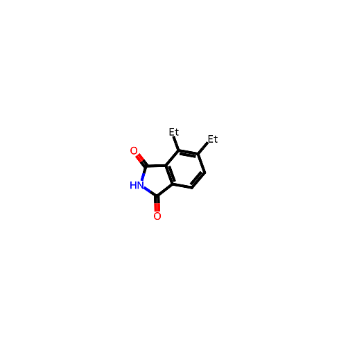 CCc1ccc2c(c1CC)C(=O)NC2=O